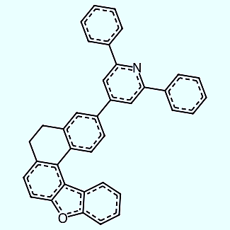 c1ccc(-c2cc(-c3ccc4c(c3)CCc3ccc5oc6ccccc6c5c3-4)cc(-c3ccccc3)n2)cc1